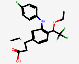 CCO[C@H](c1ccc([C@@H](CC)CC(=O)O)cc1Nc1ccc(F)cc1)C(F)(F)F